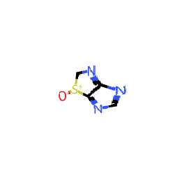 [O-][S+]1CN=C2N=CN=C21